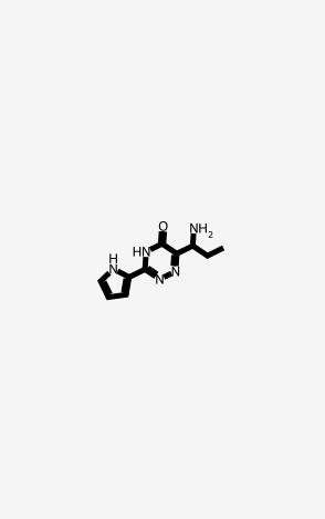 CCC(N)c1nnc(-c2ccc[nH]2)[nH]c1=O